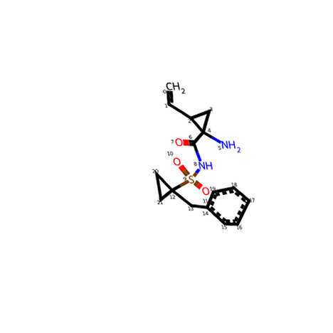 C=CC1CC1(N)C(=O)NS(=O)(=O)C1(Cc2ccccc2)CC1